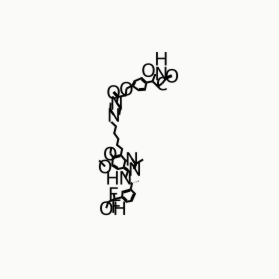 COc1cc2c(N[C@H](C)c3cccc(C(F)(F)CO)c3)nc(C)nc2c(CCCCCCN2CCN(C(=O)COc3ccc(C4CCC(=O)NC4=O)cc3)CC2)c1OC